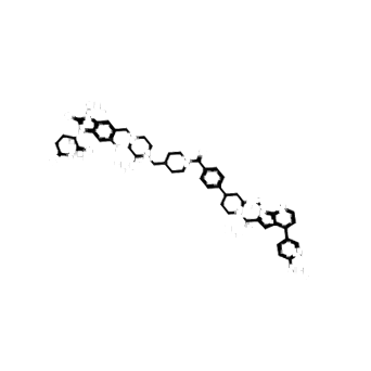 C[C@H]1CN(Cc2cc3c(cc2F)n([C@H]2CCC(=O)NC2=O)c(=O)n3C)CCN1CC1CCN(C(=O)c2ccc(C3CCN([C@@H](C)c4cc5c(-c6ccc(N)nc6)ccnc5n4C)CC3)cc2)CC1